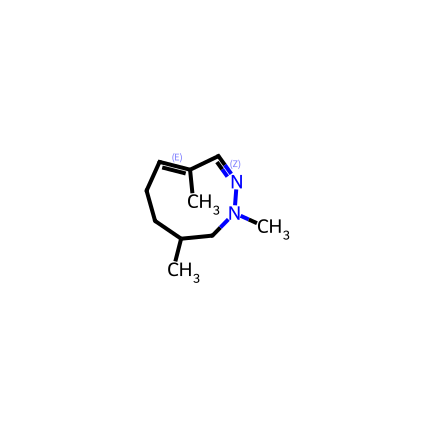 CC1=C\CCC(C)CN(C)/N=C\1